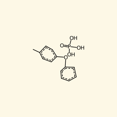 Cc1ccc(Oc2ccccc2)cc1.O=P(O)(O)O